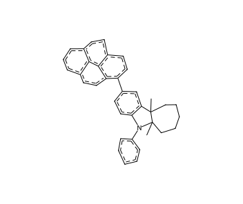 CC12CCCCCC1(C)N(c1ccccc1)c1ccc(-c3ccc4ccc5cccc6ccc3c4c56)cc12